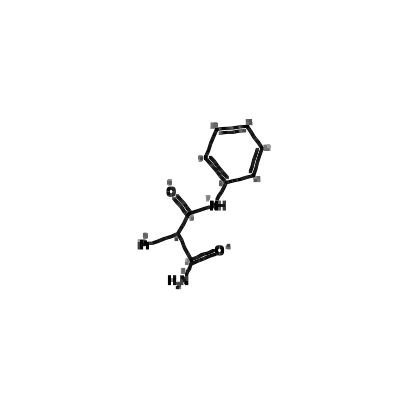 CC(C)C(C(N)=O)C(=O)Nc1ccccc1